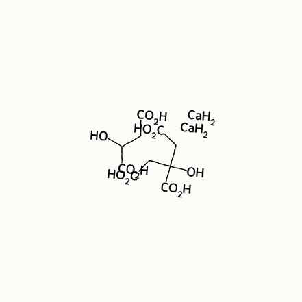 O=C(O)CC(O)(CC(=O)O)C(=O)O.O=C(O)CC(O)C(=O)O.[CaH2].[CaH2]